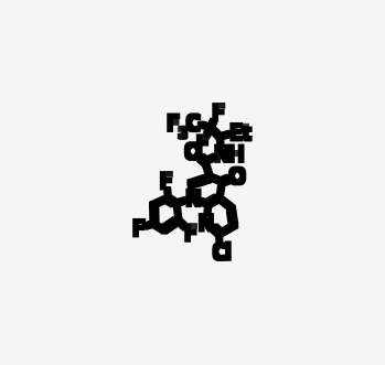 CCC(NC(=O)c1cn(-c2c(F)cc(F)cc2F)c2nc(Cl)ccc2c1=O)C(F)(F)C(F)(F)F